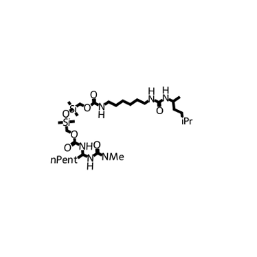 CCCCCC(NC(=O)NC)NC(=O)OC[Si](C)(C)O[Si](C)(C)COC(=O)NCCCCCCNC(=O)NC(C)CCC(C)C